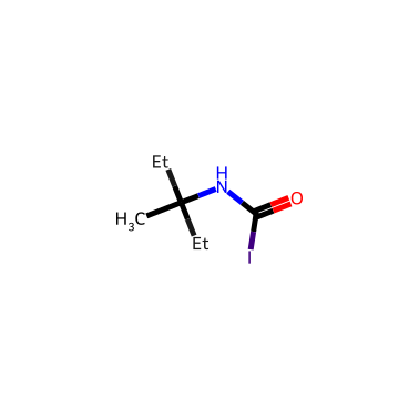 CCC(C)(CC)NC(=O)I